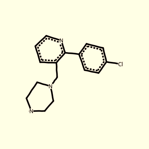 Clc1ccc(-c2ncccc2CN2CC[N]CC2)cc1